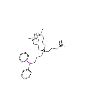 C[SiH2]CCC[Si](CCC[SiH2]C)(CCC[SiH2]C)CCCP(c1ccccc1)c1ccccc1